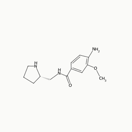 COc1cc(C(=O)NC[C@@H]2CCCN2)ccc1N